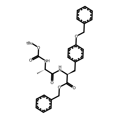 C[C@H](NC(=O)OC(C)(C)C)C(=O)N[C@@H](Cc1ccc(OCc2ccccc2)cc1)C(=O)OCc1ccccc1